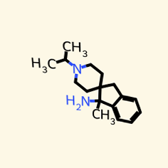 CC(C)N1CCC2(CC1)Cc1ccccc1C2(C)N